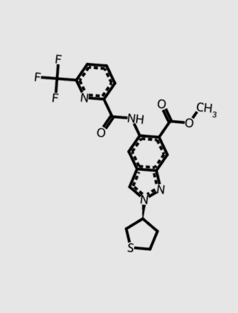 COC(=O)c1cc2nn([C@H]3CCSC3)cc2cc1NC(=O)c1cccc(C(F)(F)F)n1